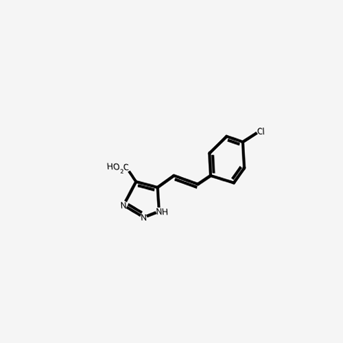 O=C(O)c1nn[nH]c1C=Cc1ccc(Cl)cc1